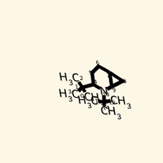 CC(C)(C)C1CCC2CC2N1C(C)(C)C